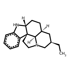 CC[C@@H]1C[C@@H]2CC[C@H]3Nc4ccccc4[C@]34CCN(C1)[C@H]24